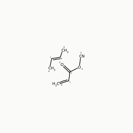 C=CC(=O)OC#N.CC=CC